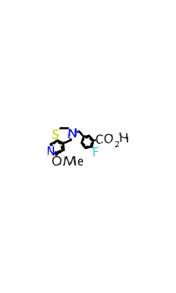 COc1cc2c(cn1)SCCN(Cc1ccc(F)c(C(=O)O)c1)C2